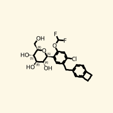 OC[C@H]1O[C@@H](c2cc(Cc3ccc4c(c3)CC4)c(Cl)cc2OC(F)F)[C@H](O)[C@@H](O)[C@@H]1O